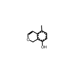 Cc1ccc(O)c2c1C=COC2